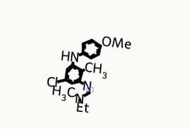 CCN(C)/C=N\c1cc(Cl)cc(Nc2ccc(OC)cc2)c1C